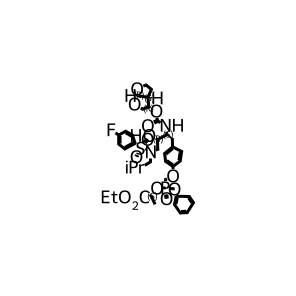 CCOC(=O)[C@H](C)OP(=O)(COc1ccc(C[C@H](NC(=O)O[C@H]2CO[C@H]3OCC[C@H]32)[C@H](O)CN(CC(C)C)S(=O)(=O)c2ccc(F)cc2)cc1)Oc1ccccc1